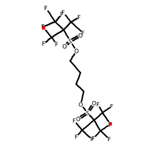 O=S(=O)(OCCCCOS(=O)(=O)C(C(F)(F)F)(C(F)(F)F)C(F)(F)F)C(C(F)(F)F)(C(F)(F)F)C(F)(F)F